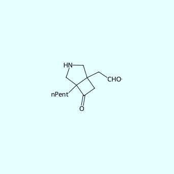 CCCCCC12CNCC1(C[C]=O)CC2=O